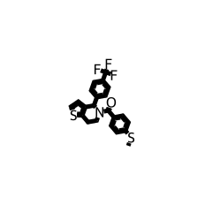 CSc1ccc(C(=O)N2CCc3sccc3C2c2ccc(C(F)(F)F)cc2)cc1